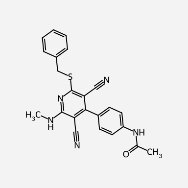 CNc1nc(SCc2ccccc2)c(C#N)c(-c2ccc(NC(C)=O)cc2)c1C#N